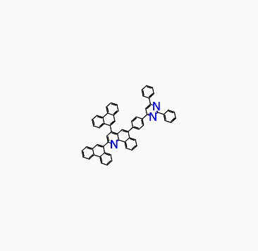 c1ccc(-c2cc(-c3ccc(-c4cc5c(-c6cc7ccccc7c7ccccc67)cc(-c6cc7ccccc7c7ccccc67)nc5c5ccccc45)cc3)nc(-c3ccccc3)n2)cc1